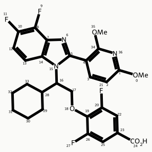 COc1ccc(-c2nc3c(F)c(F)ccc3n2C(COc2c(F)cc(C(=O)O)cc2F)C2CCCCC2)c(OC)n1